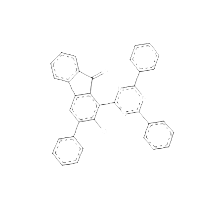 O=C1c2ccccc2-c2cc(-c3ccccc3)c(Cl)c(-c3nc(-c4ccccc4)nc(-c4ccccc4)n3)c21